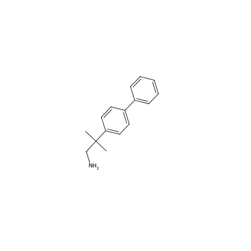 CC(C)(CN)c1ccc(-c2ccccc2)cc1